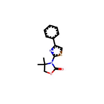 CC1(C)COC(=O)N1c1nc(-c2ccccc2)cs1